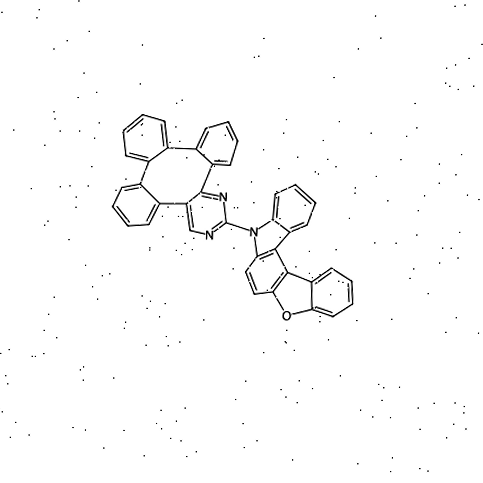 c1ccc2c(c1)-c1ccccc1-c1cnc(-n3c4ccccc4c4c5c(ccc43)oc3ccccc35)nc1-c1ccccc1-2